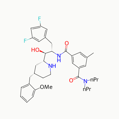 CCCN(CCC)C(=O)c1cc(C)cc(C(=O)N[C@@H](Cc2cc(F)cc(F)c2)[C@H](O)[C@H]2C[C@@H](Cc3ccccc3OC)CCN2)c1